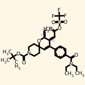 C=C(/C=C1/C(c2ccc(C(=O)N(CC)CC)cc2)=CC2(CCN(C(=O)OC(C)(C)C)CC2)O/C1=C/C)OS(=O)(=O)C(F)(F)F